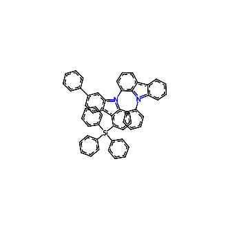 c1ccc(-c2ccc3c4c([Si](c5ccccc5)(c5ccccc5)c5ccccc5)cccc4n(-c4cccc5c6ccccc6n(-c6ccccc6)c45)c3c2)cc1